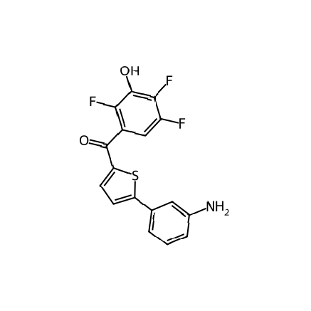 Nc1cccc(-c2ccc(C(=O)c3cc(F)c(F)c(O)c3F)s2)c1